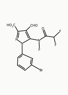 O=Cc1c(C(=O)O)nn(-c2cccc(Br)c2)c1N(F)C(=O)C(F)F